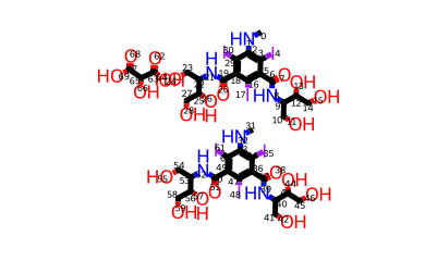 CNc1c(I)c(C(=O)NC(CO)C(O)CO)c(I)c(C(=O)NC(CO)C(O)CO)c1I.CNc1c(I)c(C(=O)NC(CO)C(O)CO)c(I)c(C(=O)NC(CO)C(O)CO)c1I.O=C(O)C(O)C(=O)O